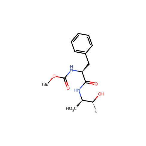 C[C@@H](O)[C@H](NC(=O)[C@H](Cc1ccccc1)NC(=O)OC(C)(C)C)C(=O)O